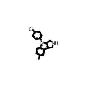 Cc1ccc2c(c1)c1c(n2-c2ccc(Cl)cc2)CNC1